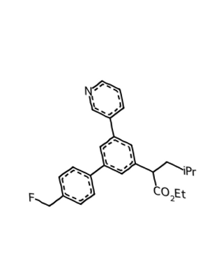 CCOC(=O)C(CC(C)C)c1cc(-c2ccc(CF)cc2)cc(-c2cccnc2)c1